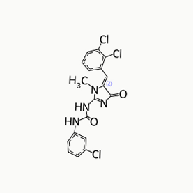 CN1C(NC(=O)Nc2cccc(Cl)c2)=NC(=O)/C1=C/c1cccc(Cl)c1Cl